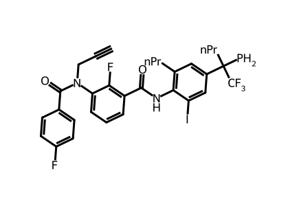 C#CCN(C(=O)c1ccc(F)cc1)c1cccc(C(=O)Nc2c(I)cc(C(P)(CCC)C(F)(F)F)cc2CCC)c1F